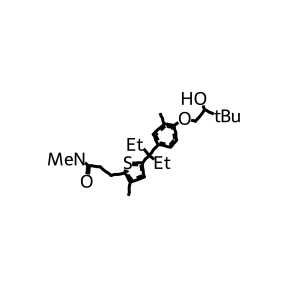 CCC(CC)(c1ccc(OCC(O)C(C)(C)C)c(C)c1)c1cc(C)c(CCC(=O)NC)s1